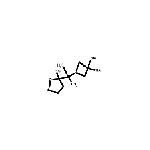 CC(C)(C)C1(C(C)(C)C)CN(C(C)(C)C2(C(C)(C)C)CCCO2)C1